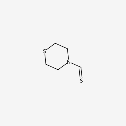 S=CN1CCSCC1